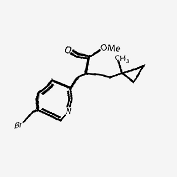 COC(=O)C(CC1(C)CC1)c1ccc(Br)cn1